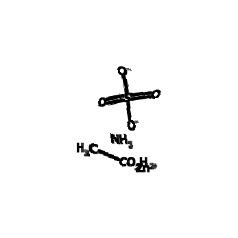 CC(=O)O.N.O=S(=O)([O-])[O-].[Zn+2]